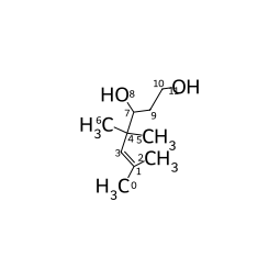 CC(C)=CC(C)(C)C(O)CCO